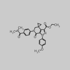 CCOC(=O)c1nn(-c2ccc(OC)cc2)c2c1C1(CC1)CN(c1ccc(C(=O)N(C)C)cc1)C2=O